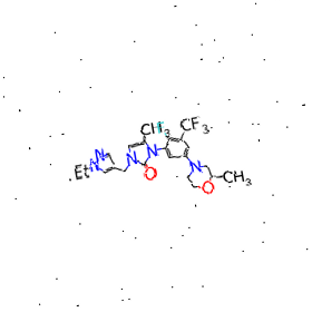 CCn1cc(Cn2cc(C)n(-c3cc(N4CCO[C@H](C)C4)cc(C(F)(F)F)c3F)c2=O)cn1